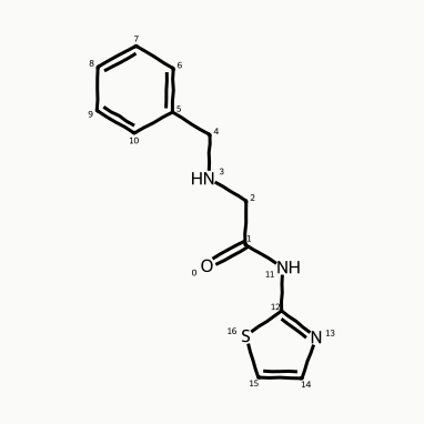 O=C(CNCc1ccccc1)Nc1nccs1